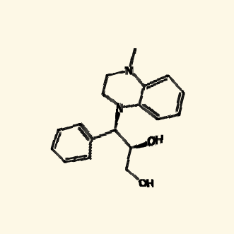 CN1CCN([C@H](c2ccccc2)[C@@H](O)CO)c2ccccc21